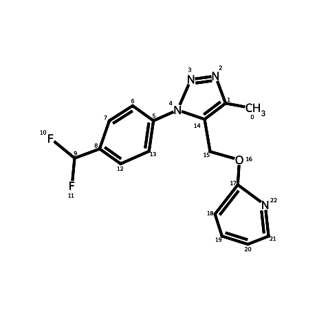 Cc1nnn(-c2ccc(C(F)F)cc2)c1COc1ccccn1